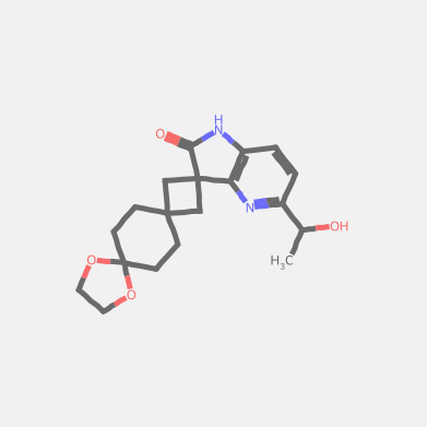 CC(O)c1ccc2c(n1)C1(CC3(CCC4(CC3)OCCO4)C1)C(=O)N2